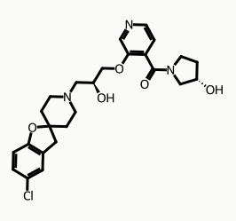 O=C(c1ccncc1OC[C@@H](O)CN1CCC2(CC1)Cc1cc(Cl)ccc1O2)N1CC[C@H](O)C1